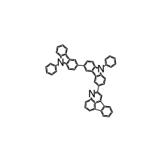 c1ccc(-n2c3ccccc3c3cc(-c4ccc5c(c4)c4cc(-c6cc7c8c(cccc8n6)-c6ccccc6-7)ccc4n5-c4ccccc4)ccc32)cc1